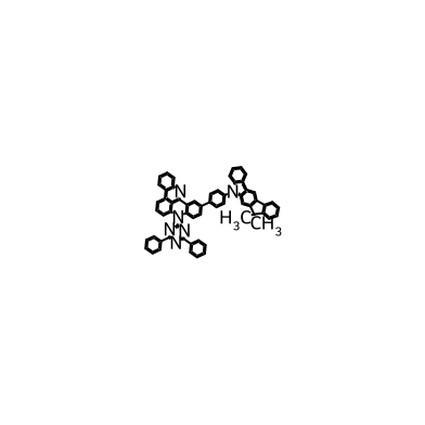 CC1(C)c2ccccc2-c2cc3c4ccccc4n(-c4ccc(-c5ccc6c(c5)-c5nc7ccccc7c7cccc(c57)N6c5nc(-c6ccccc6)nc(-c6ccccc6)n5)cc4)c3cc21